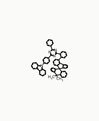 CC1(C)c2ccccc2C2(c3ccccc3-c3c(-c4ccccc4-c4nc(-c5ccccc5)nc(-c5ccc(-n6c7ccccc7c7ccccc76)cc5)n4)cccc32)c2ccccc21